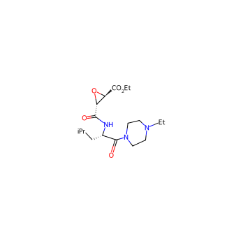 CCOC(=O)[C@@H]1O[C@H]1C(=O)N[C@@H](CC(C)C)C(=O)N1CCN(CC)CC1